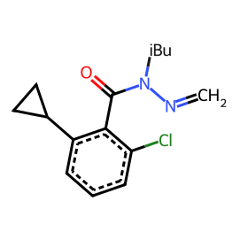 C=NN(C(=O)c1c(Cl)cccc1C1CC1)C(C)CC